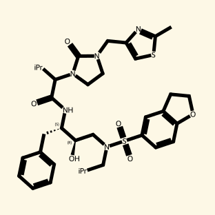 Cc1nc(CN2CCN(C(C(=O)N[C@@H](Cc3ccccc3)[C@H](O)CN(CC(C)C)S(=O)(=O)c3ccc4c(c3)CCO4)C(C)C)C2=O)cs1